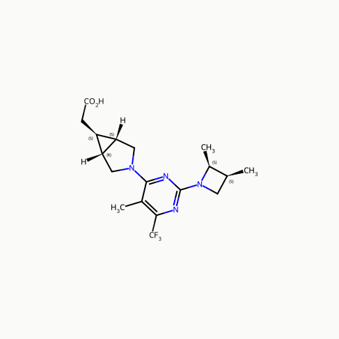 Cc1c(N2C[C@@H]3[C@@H](CC(=O)O)[C@@H]3C2)nc(N2C[C@H](C)[C@@H]2C)nc1C(F)(F)F